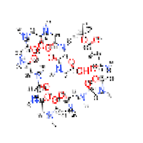 CN(CC(=O)O)C(=O)CN(C)C(=O)CN(C)C(=O)CN(C)C(=O)CN(C)C(=O)CN(C)C(=O)CN(C)C(=O)CN(C)C(=O)CN(C)C(=O)CN(C)C(=O)CN(C)C(=O)CN(C)C(=O)CCC(=O)OC(C)(C)C